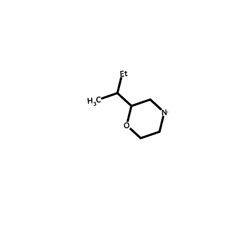 CCC(C)C1C[N]CCO1